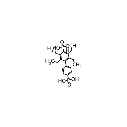 CCc1c(CC)c(P(=O)(O)O)c(CC)c(CC)c1-c1ccc(P(=O)(O)O)cc1